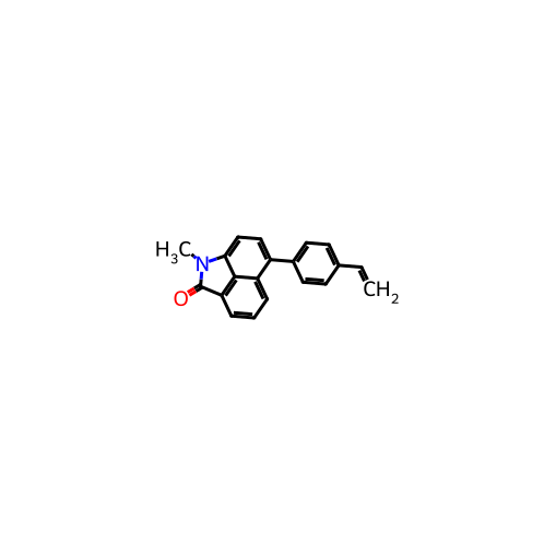 C=Cc1ccc(-c2ccc3c4c(cccc24)C(=O)N3C)cc1